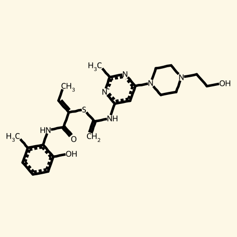 C=C(Nc1cc(N2CCN(CCO)CC2)nc(C)n1)S/C(=C\C)C(=O)Nc1c(C)cccc1O